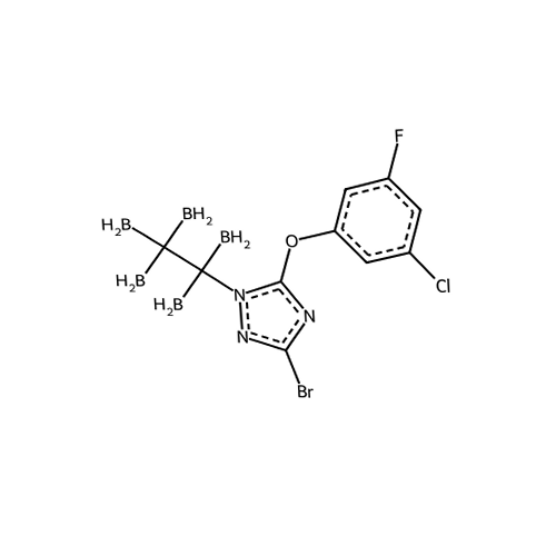 BC(B)(B)C(B)(B)n1nc(Br)nc1Oc1cc(F)cc(Cl)c1